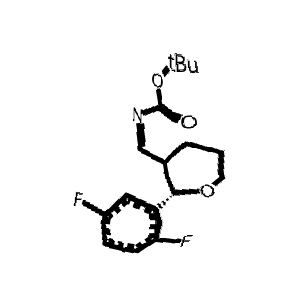 CC(C)(C)OC(=O)/N=C\C1CCCO[C@@H]1c1cc(F)ccc1F